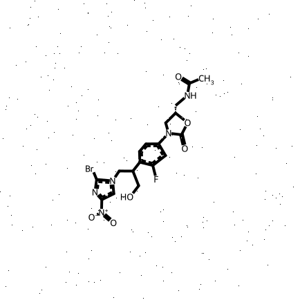 CC(=O)NC[C@H]1CN(c2ccc(C(CO)Cn3cc([N+](=O)[O-])nc3Br)c(F)c2)C(=O)O1